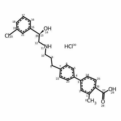 Cc1cc(-c2ccc(CCCNC[C@H](O)c3cccc(Cl)c3)cc2)ccc1C(=O)O.Cl